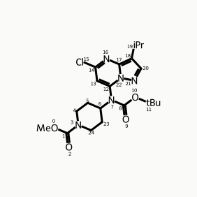 COC(=O)N1CCC(N(C(=O)OC(C)(C)C)c2cc(Cl)nc3c(C(C)C)cnn23)CC1